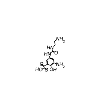 NCCNC(=O)Nc1cc(N)c(O)c(S(=O)(=O)O)c1